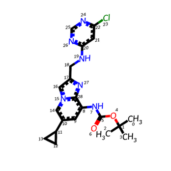 CC(C)(C)OC(=O)Nc1cc(C2CC2)cn2cc(CNc3cc(Cl)ncn3)nc12